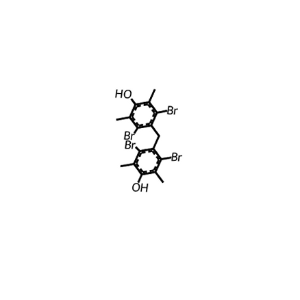 Cc1c(O)c(C)c(Br)c(Cc2c(Br)c(C)c(O)c(C)c2Br)c1Br